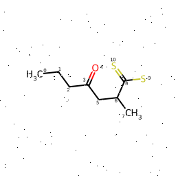 CCCC(=O)CC(C)C([S])=S